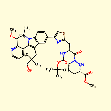 CCn1c(-c2cccnc2[C@H](C)OC)c(CC(C)(C)CO)c2cc(-c3csc(C[C@H](NC(=O)OC(C)(C)C)C(=O)N4CCC[C@@H](C(=O)OC)N4)n3)ccc21